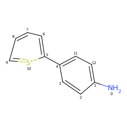 Nc1ccc(-c2cccc[s+]2)cc1